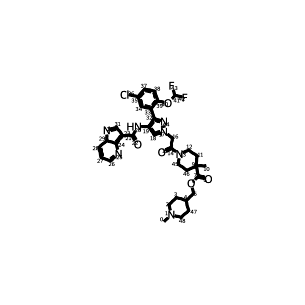 CN1CCC(COC(=O)C2(C)CCN(C(=O)Cn3cc(NC(=O)C4=C5N=CC=CC5N=C4)c(-c4cc(Cl)ccc4OC(F)F)n3)CC2)CC1